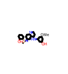 COc1cc(O)cc(Nc2ccnc3ccc(N=S(C)c4ccccc4O)cc23)c1